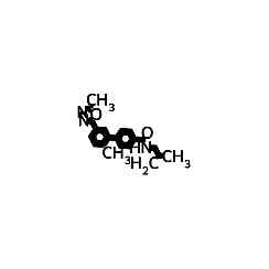 C=C(C)CNC(=O)c1ccc(-c2cc(-c3nnc(C)o3)ccc2C)cc1